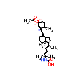 C=C1CC[C@@](O)(OC(C)=O)C/C1=C/C=C1CCC[C@@]2(C)C1CC[C@@H]2[C@H](C)CCCC(C)(C)NC(=O)O